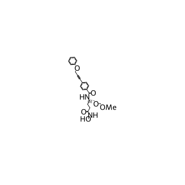 COCOC[C@H](CCC(=O)NO)NC(=O)c1ccc(C#CCOc2ccccc2)cc1